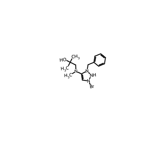 CN(CC(C)(C)O)C1=CN(Br)NN1Cc1ccccc1